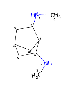 CNC1CC2CC(NC)C1C2